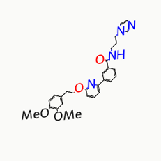 COc1ccc(CCOc2cccc(-c3cccc(C(=O)NCCCn4ccnc4)c3)n2)cc1OC